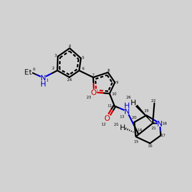 CCNc1cccc(-c2ccc(C(=O)N[C@@H]3C4CCN(CC4)[C@H]3C)o2)c1